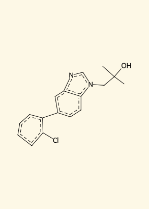 CC(C)(O)Cn1cnc2cc(-c3ccccc3Cl)ccc21